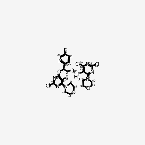 COCC(Oc1nc(Cl)nc(N2CCOCC2)c1F)c1ccc(F)cn1.Fc1c(Cl)nc(Cl)nc1N1CCOCC1